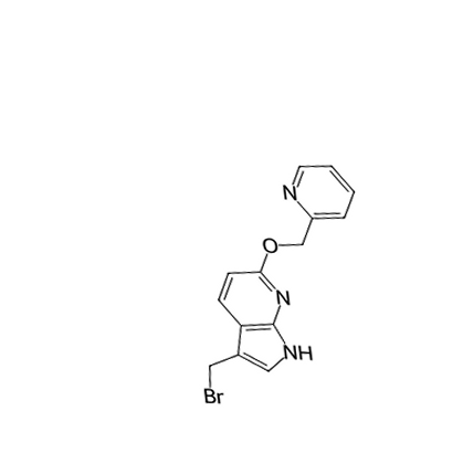 BrCc1c[nH]c2nc(OCc3ccccn3)ccc12